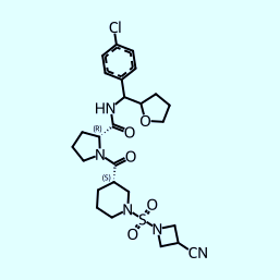 N#CC1CN(S(=O)(=O)N2CCC[C@H](C(=O)N3CCC[C@@H]3C(=O)NC(c3ccc(Cl)cc3)C3CCCO3)C2)C1